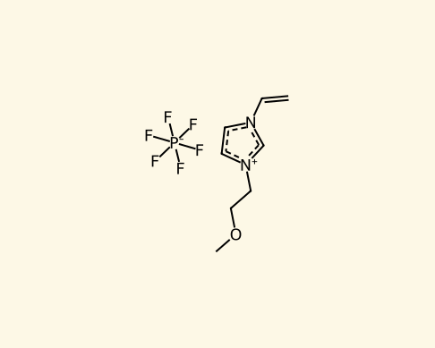 C=Cn1cc[n+](CCOC)c1.F[P-](F)(F)(F)(F)F